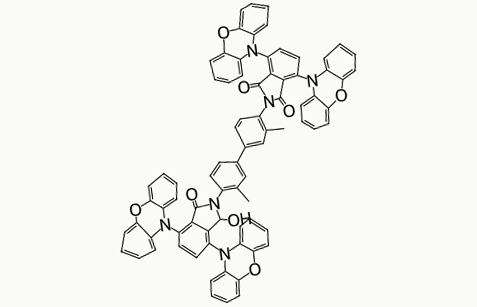 Cc1cc(-c2ccc(N3C(=O)c4c(N5c6ccccc6Oc6ccccc65)ccc(N5c6ccccc6Oc6ccccc65)c4C3O)c(C)c2)ccc1N1C(=O)c2c(N3c4ccccc4Oc4ccccc43)ccc(N3c4ccccc4Oc4ccccc43)c2C1=O